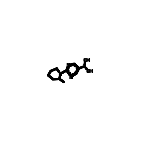 CC1CCCCN1c1ncc(B(O)O)cn1